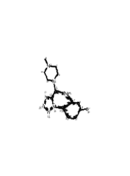 CN1CCN(c2nc3cc(Br)ccc3n3nnnc23)CC1